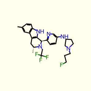 Cc1ccc2[nH]c3c(c2c1)C[C@@H](C)N(CC(F)(F)F)[C@@H]3c1ccc(N[C@H]2CCN(CCCF)C2)cn1